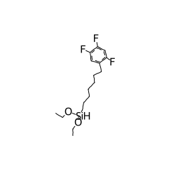 CCO[SiH](CCCCCCCc1cc(F)c(F)cc1F)OCC